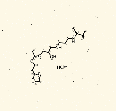 C=C(C)C(=O)NCCCNCC(O)COC(C)OCCC1OCCO1.Cl